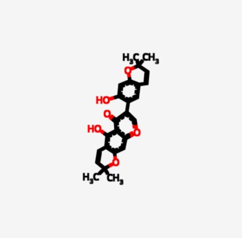 CC1(C)C=Cc2cc(-c3coc4cc5c(c(O)c4c3=O)C=CC(C)(C)O5)c(O)cc2O1